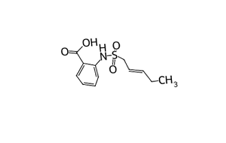 CCC=CCS(=O)(=O)Nc1ccccc1C(=O)O